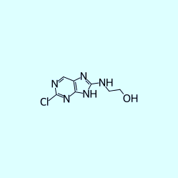 OCCNc1nc2cnc(Cl)nc2[nH]1